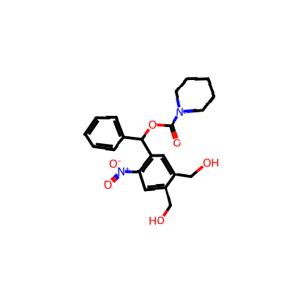 O=C(OC(c1ccccc1)c1cc(CO)c(CO)cc1[N+](=O)[O-])N1CCCCC1